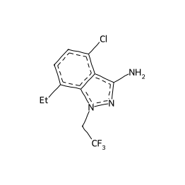 CCc1ccc(Cl)c2c(N)nn(CC(F)(F)F)c12